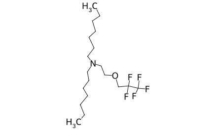 CCCCCCCN(CCCCCCC)CCOCC(F)(F)C(F)(F)F